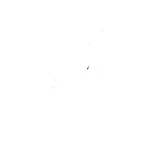 CN1C(=O)[C@H](NC(=O)c2cc(Cc3ccccc3)[nH]n2)[C@@H]2CC2c2cccnc21